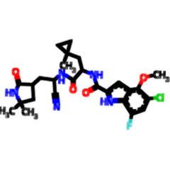 COc1c(Cl)cc(F)c2[nH]c(C(=O)NC(CC3(C)CC3)C(=O)NC(C#N)CC3CC(C)(C)NC3=O)cc12